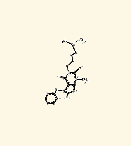 Cc1nc2c(c(=O)n(CCCC[C@@H](C)O)c(=O)n2C)n1Cc1ccccc1